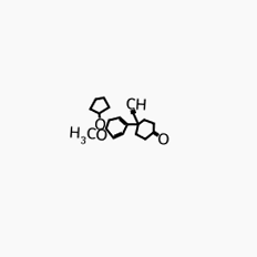 C#CC1(C2=CCC(OC)(OC3CCCC3)C=C2)CCC(=O)CC1